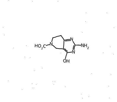 Nc1nc(O)c2c(n1)CCN(C(=O)O)C2